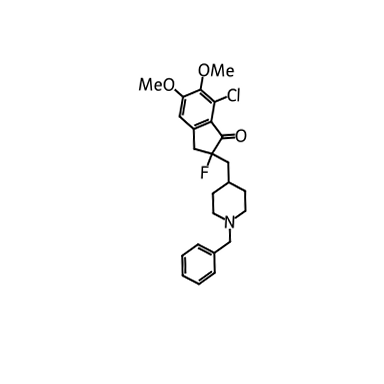 COc1cc2c(c(Cl)c1OC)C(=O)C(F)(CC1CCN(Cc3ccccc3)CC1)C2